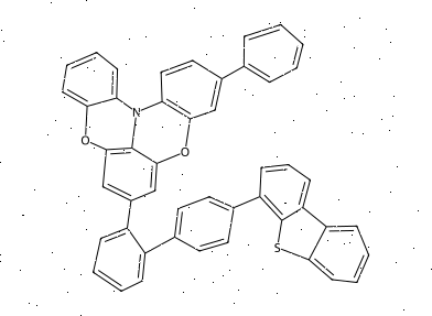 c1ccc(-c2ccc3c(c2)Oc2cc(-c4ccccc4-c4ccc(-c5cccc6c5sc5ccccc56)cc4)cc4c2N3c2ccccc2O4)cc1